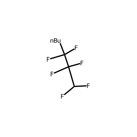 [CH2]CCCC(F)(F)C(F)(F)C(F)F